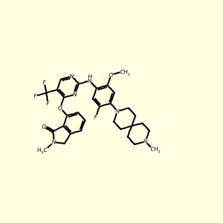 COc1cc(N2CCC3(CCN(C)CC3)CC2)c(F)cc1Nc1ncc(C(F)(F)F)c(Oc2cccc3c2C(=O)N(C)C3)n1